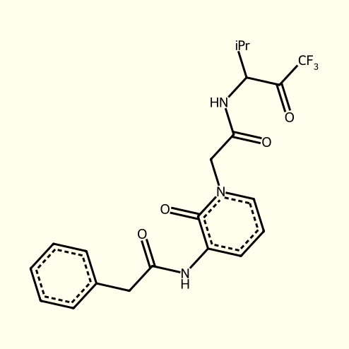 CC(C)C(NC(=O)Cn1cccc(NC(=O)Cc2ccccc2)c1=O)C(=O)C(F)(F)F